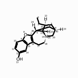 CC[C@H]1C[C@@H]2C[C@H]3c4oc5ccc(O)cc5c4CC[N@@](C2)[C@@H]13